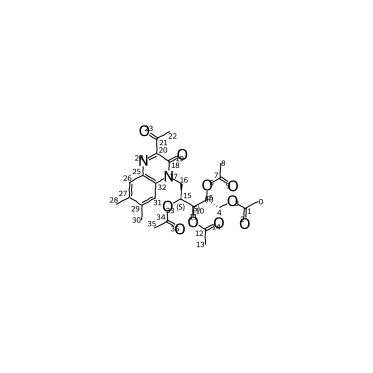 CC(=O)OC[C@@H](OC(C)=O)[C@@H](OC(C)=O)[C@H](Cn1c(=O)c(C(C)=O)nc2cc(C)c(C)cc21)OC(C)=O